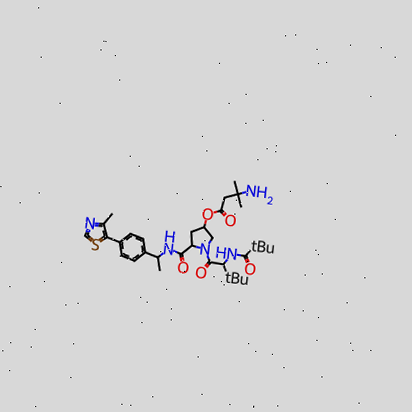 Cc1ncsc1-c1ccc(C(C)NC(=O)C2CC(OC(=O)CC(C)(C)N)CN2C(=O)C(NC(=O)C(C)(C)C)C(C)(C)C)cc1